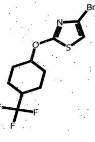 FC(F)(F)C1CCC(Oc2nc(Br)cs2)CC1